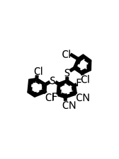 N#Cc1c(F)c(Sc2c(Cl)cccc2Cl)c(Sc2c(Cl)cccc2Cl)c(F)c1C#N